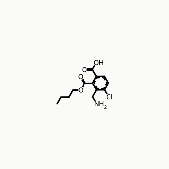 CCCCOC(=O)c1c(C(=O)O)ccc(Cl)c1CN